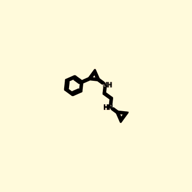 c1ccc(C2CC2NCCNC2CC2)cc1